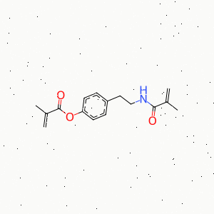 C=C(C)C(=O)NCCc1ccc(OC(=O)C(=C)C)cc1